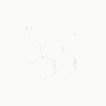 COc1cccc(Cl)c1C(=O)CCP